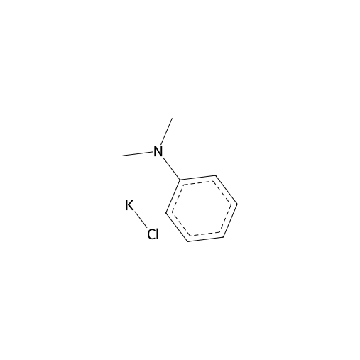 CN(C)c1ccccc1.[Cl][K]